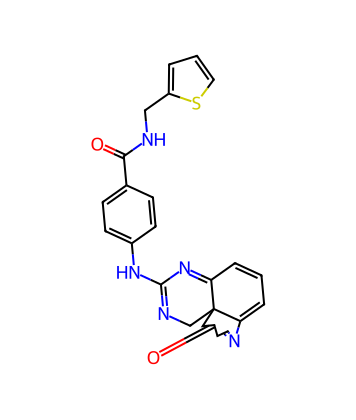 O=C1CC=NC2=CC=CC3=NC(Nc4ccc(C(=O)NCc5cccs5)cc4)=NCC23C1